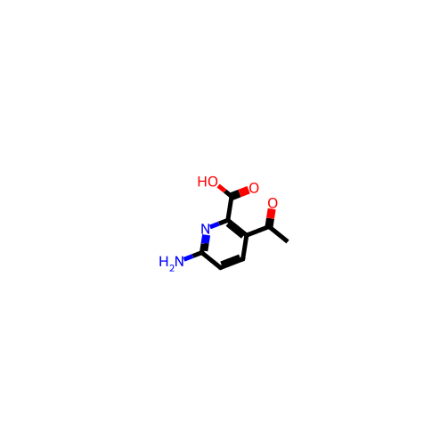 CC(=O)c1ccc(N)nc1C(=O)O